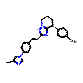 CSc1ccc([C@@H]2CCCn3nc(/C=C/c4ccc(-n5cnc(C)c5)cc4)nc32)cc1